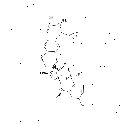 C[C@H](C(=O)O)C(c1ccc2c(c1)OC1(CC2)[C@@H]2CC[C@H]1CN([C@H](C)c1cc(F)ccc1C(F)(F)F)C2)C1CC1